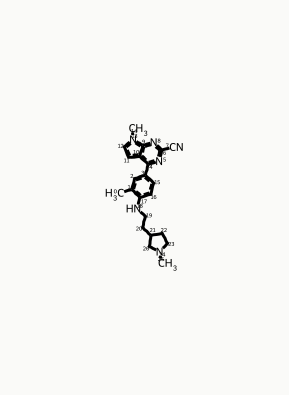 Cc1cc(-c2nc(C#N)nc3c2ccn3C)ccc1NCCC1CCN(C)C1